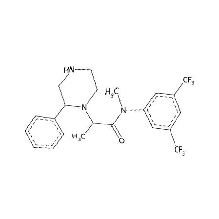 CC(C(=O)N(C)c1cc(C(F)(F)F)cc(C(F)(F)F)c1)N1CCNCC1c1ccccc1